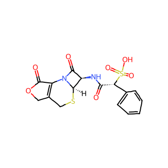 O=C1OCC2=C1N1C(=O)[C@@H](NC(=O)[C@@H](c3ccccc3)S(=O)(=O)O)[C@H]1SC2